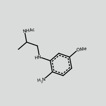 COc1ccc(N)c(NCC(C)NC(C)=O)c1